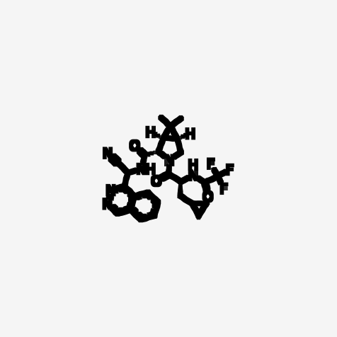 CC1(C)[C@@H]2[C@@H](C(=O)NC(C#N)c3nncc4ccccc34)N(C(=O)[C@H](CC3CC3)NC(=O)C(F)(F)F)C[C@@H]21